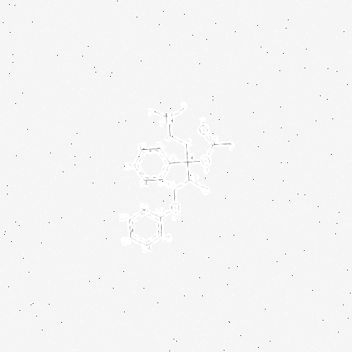 CC(=O)OC(CCN(C)C)(c1ccccc1)C(C)COc1ccccc1